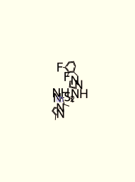 C=C(Nc1ccn(Cc2cccc(F)c2F)n1)S/C(=N\N)C(C)n1ccc(C)n1